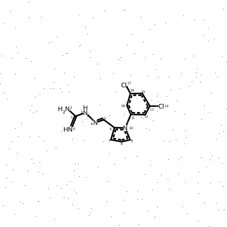 N=C(N)NN=Cc1cccn1-c1cc(Cl)cc(Cl)c1